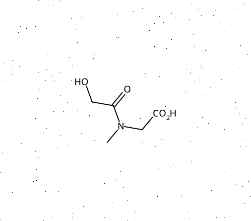 CN(CC(=O)O)C(=O)CO